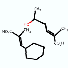 CC(=CC1CCCCC1)C(=O)O.CC(=CCC(C)O)C(=O)O